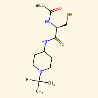 CCC(C)(C)N1CCC(NC(=O)[C@H](CS)NC(=O)OCC(C)C)CC1